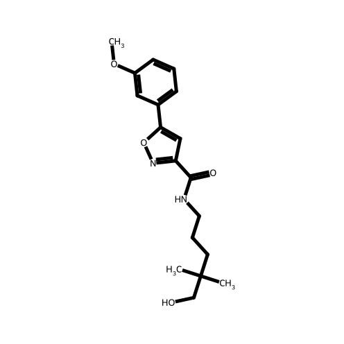 COc1cccc(-c2cc(C(=O)NCCCC(C)(C)CO)no2)c1